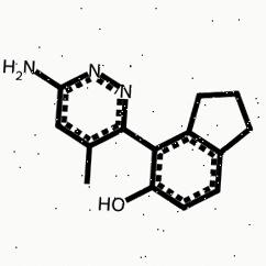 Cc1cc(N)nnc1-c1c(O)ccc2c1CCC2